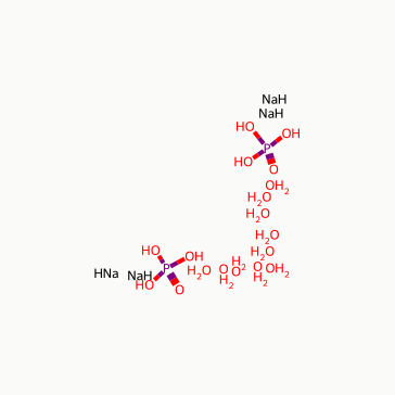 O.O.O.O.O.O.O.O.O.O.O=P(O)(O)O.O=P(O)(O)O.[NaH].[NaH].[NaH].[NaH]